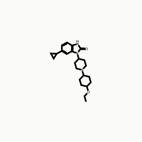 CCOC1CCC(N2CCC(n3c(=O)[nH]c4ccc(C5CC5)cc43)CC2)CC1